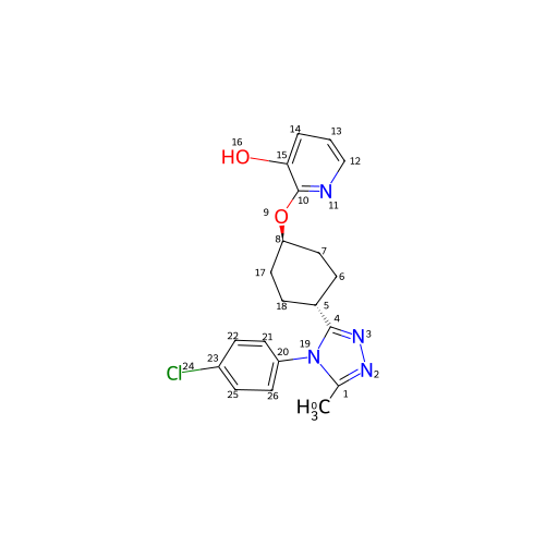 Cc1nnc([C@H]2CC[C@H](Oc3ncccc3O)CC2)n1-c1ccc(Cl)cc1